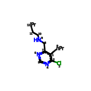 CCCc1c(Cl)ncnc1CNCCC(C)C